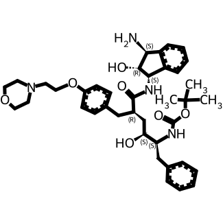 CC(C)(C)OC(=O)N[C@@H](Cc1ccccc1)[C@@H](O)C[C@@H](Cc1ccc(OCCN2CCOCC2)cc1)C(=O)N[C@H]1c2ccccc2[C@H](N)[C@H]1O